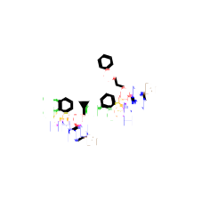 O=S(=O)(Nc1ncc(Br)nc1OCC1CC1)c1cccc(Cl)c1Cl.O=S(=O)(Nc1ncc(Br)nc1OCCCOc1ccccc1)c1cccc(Cl)c1Cl